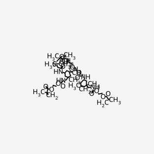 C=C(C)C(=O)OCCOC(=O)NCC1(C)CC(NC(=O)C[Si](C)(C)CC(C)(C)O[Si](C)(C)CCCOCCOC(=O)NC2CC(C)(C)CC(C)(CNC(=O)OCCOC(=O)C(=C)C)C2)CC(C)(C)C1